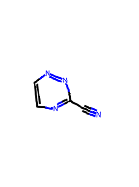 N#Cc1nccnn1